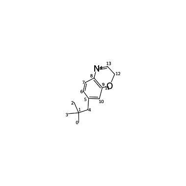 CC(C)(C)Cc1ccc2c(c1)OCC=N2